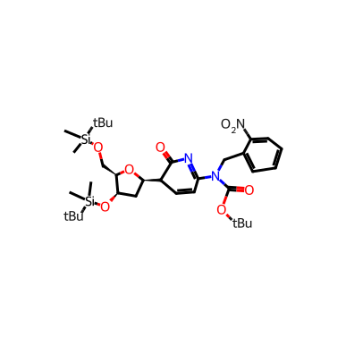 CC(C)(C)OC(=O)N(Cc1ccccc1[N+](=O)[O-])C1=NC(=O)C([C@H]2C[C@@H](O[Si](C)(C)C(C)(C)C)[C@@H](CO[Si](C)(C)C(C)(C)C)O2)C=C1